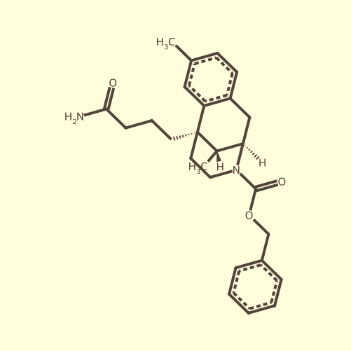 Cc1ccc2c(c1)[C@]1(CCCC(N)=O)CCN(C(=O)OCc3ccccc3)[C@H](C2)[C@@H]1C